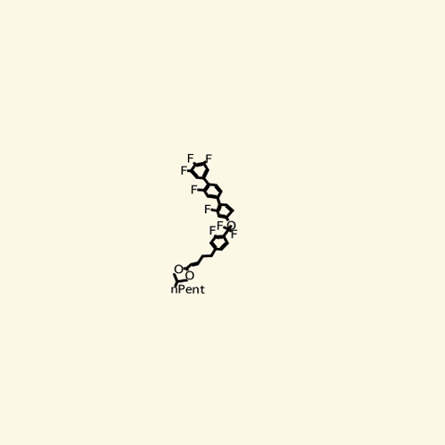 CCCCCC1COC(/C=C/CCc2ccc(C(F)(F)Oc3ccc(-c4ccc(-c5cc(F)c(F)c(F)c5)c(F)c4)c(F)c3)c(F)c2)OC1